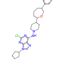 Clc1nc(NN2CCC(C3CCCC(c4ccccc4)CO3)CC2)c2ncn(C3CCCC3)c2n1